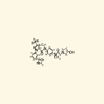 CN(C(=O)CN1CC[C@@H](O)C1)c1ccc(N2CCc3c(C(F)(F)F)nn(-c4cccc(C(N)=O)c4)c3C2=O)cc1